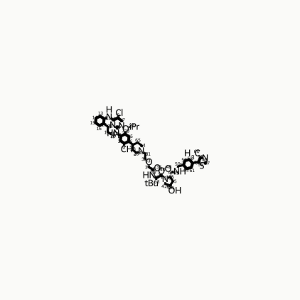 Cc1cc(Nc2ncc(Cl)c(Nc3ccccc3CCC(C)C)n2)c(OC(C)C)cc1C1CCN(CCOCC(=O)NC(C(=O)N2C[C@H](O)C[C@H]2C(=O)NCc2ccc(-c3scnc3C)cc2)C(C)(C)C)CC1